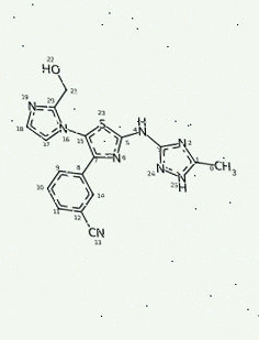 Cc1nc(Nc2nc(-c3cccc(C#N)c3)c(-n3ccnc3CO)s2)n[nH]1